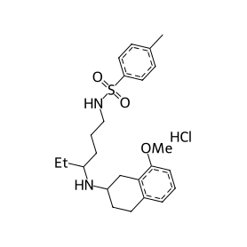 CCC(CCCNS(=O)(=O)c1ccc(C)cc1)NC1CCc2cccc(OC)c2C1.Cl